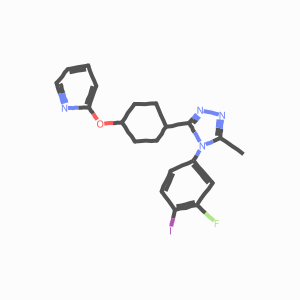 Cc1nnc(C2CCC(Oc3ccccn3)CC2)n1-c1ccc(I)c(F)c1